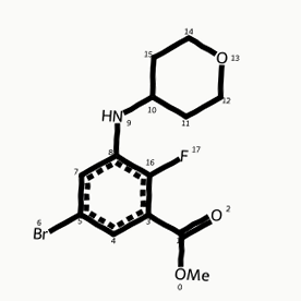 COC(=O)c1cc(Br)cc(NC2CCOCC2)c1F